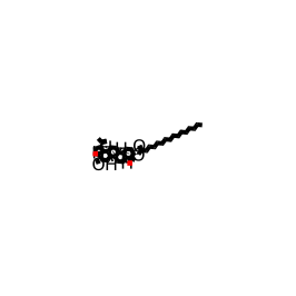 C=C(C)[C@@H]1CC[C@]2(CO)CC[C@]3(C)[C@H](CC[C@@H]4[C@@]5(C)CC[C@H](OC(=O)CCCCCCCCCCCCCCC)C(C)(C)[C@@H]5CC[C@]43C)[C@@H]12